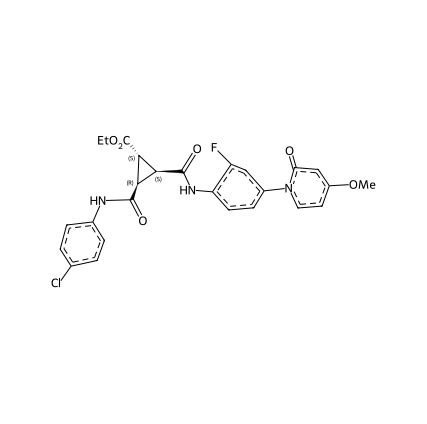 CCOC(=O)[C@H]1[C@H](C(=O)Nc2ccc(Cl)cc2)[C@@H]1C(=O)Nc1ccc(-n2ccc(OC)cc2=O)cc1F